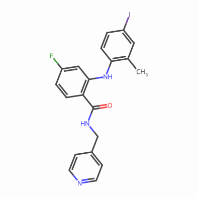 Cc1cc(I)ccc1Nc1cc(F)ccc1C(=O)NCc1ccncc1